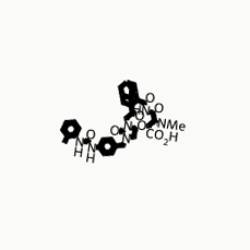 CN[C@@H](CC(=O)O)C(=O)NC(=O)C1C2CC3CC(C2)CC1(C(=O)CN1C(=O)CN(Cc2ccc(NC(=O)Nc4ccccc4C)cc2)C1=O)C3